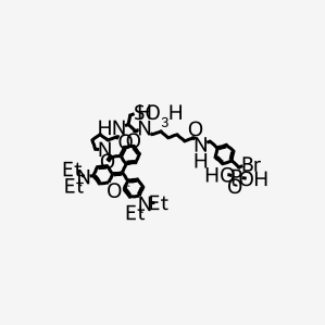 CCN(CC)c1ccc2c(-c3ccccc3C(=O)N3CCCC3C(=O)NC(CS(=O)(=O)O)C(=O)NCCCCCC(=O)NCc3ccc(C(Br)P(=O)(O)O)cc3)c3ccc(N(CC)CC)cc3[o+]c2c1